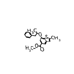 CCOC(=O)c1cc(OC(C)Cc2ccccc2)c2sc(C)cc2c1